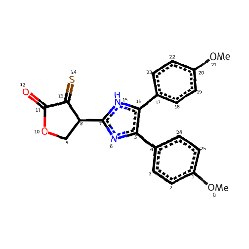 COc1ccc(-c2nc(C3COC(=O)C3=S)[nH]c2-c2ccc(OC)cc2)cc1